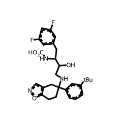 CC(C)(C)c1cccc(C2(NCC(O)C(Cc3cc(F)cc(F)c3)NC(=O)O)CCc3oncc3C2)c1